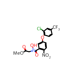 COC(=O)CN(O)C(=O)c1cc(Oc2ccc(C(F)(F)F)cc2Cl)ccc1[N+](=O)[O-]